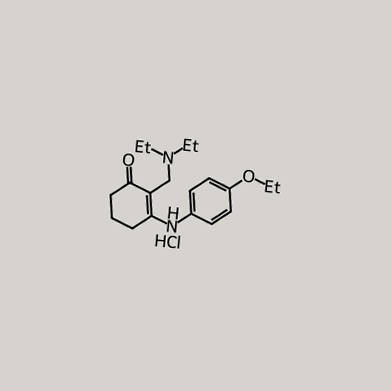 CCOc1ccc(NC2=C(CN(CC)CC)C(=O)CCC2)cc1.Cl